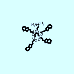 CN(C)CCCOC(C(COC(=O)CCC1CC2CCCCC2C1)OC(=O)CCC1CC2CCCCC2C1)C(COC(=O)CCC1CC2CCCCC2C1)OC(=O)CCC1CC2CCCCC2C1